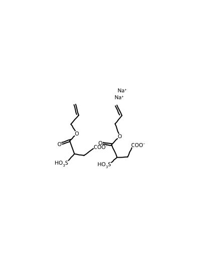 C=CCOC(=O)C(CC(=O)[O-])S(=O)(=O)O.C=CCOC(=O)C(CC(=O)[O-])S(=O)(=O)O.[Na+].[Na+]